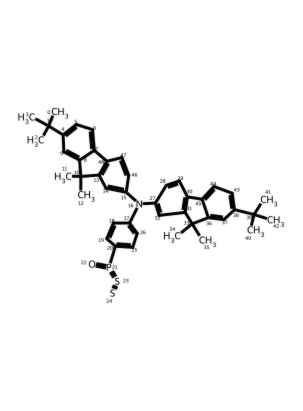 CC(C)(C)c1ccc2c(c1)C(C)(C)c1cc(N(c3ccc(P(=O)=S=S)cc3)c3ccc4c(c3)C(C)(C)c3cc(C(C)(C)C)ccc3-4)ccc1-2